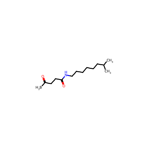 BC(=O)CCC(=O)NCCCCCCC(C)C